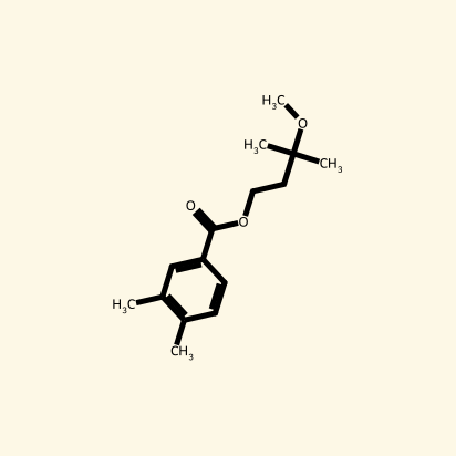 COC(C)(C)CCOC(=O)c1ccc(C)c(C)c1